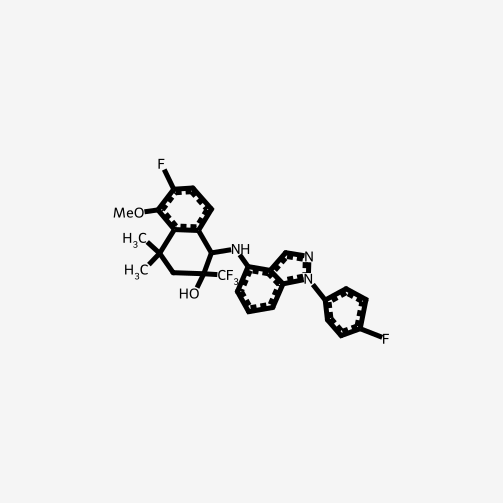 COc1c(F)ccc2c1C(C)(C)CC(O)(C(F)(F)F)C2Nc1cccc2c1cnn2-c1ccc(F)cc1